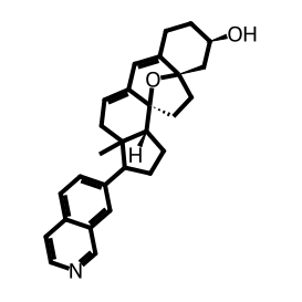 CC12CC=C3C=C4CC[C@@H](O)C[C@]45CC[C@]3(O5)[C@@H]1CCC2c1ccc2ccncc2c1